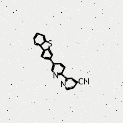 N#Cc1ccnc(-c2ccc(-c3ccc4c(c3)sc3ccccc34)cn2)c1